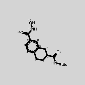 CC(C)(C)NC(=O)C1CCc2ccc(C(=O)NO)cc2C1